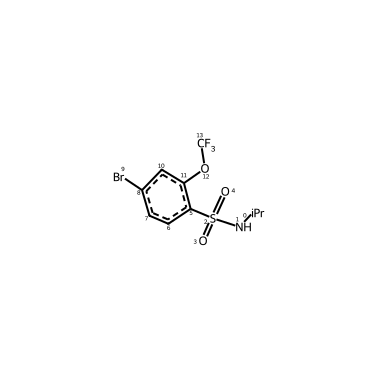 CC(C)NS(=O)(=O)c1ccc(Br)cc1OC(F)(F)F